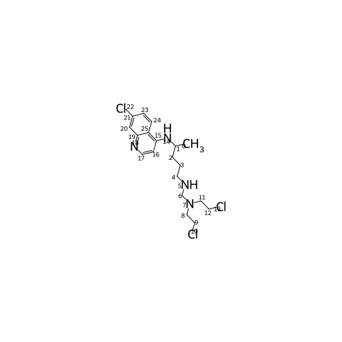 CC(CCCNCN(CCCl)CCCl)Nc1ccnc2cc(Cl)ccc12